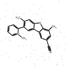 Cc1cc2oc3c(C)cc(C#N)cc3c2cc1-c1cccc[n+]1C